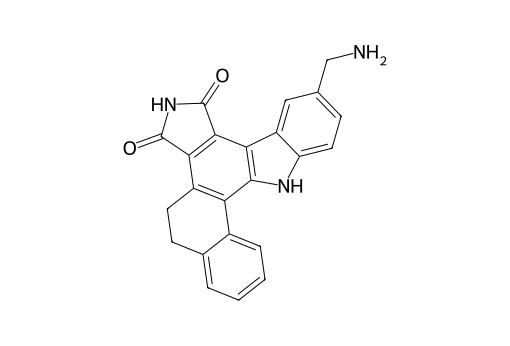 NCc1ccc2[nH]c3c4c(c5c(c3c2c1)C(=O)NC5=O)CCc1ccccc1-4